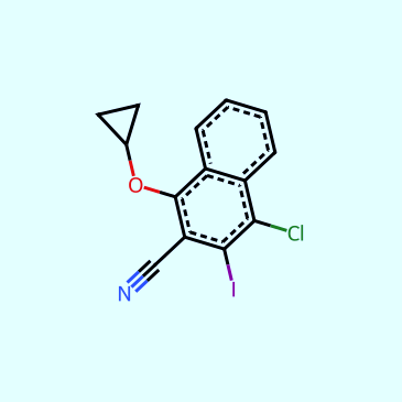 N#Cc1c(I)c(Cl)c2ccccc2c1OC1CC1